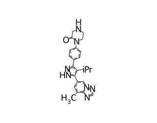 Cc1cc(-c2[nH]nc(-c3ccc(N4CCNCC4=O)cc3)c2C(C)C)cn2ncnc12